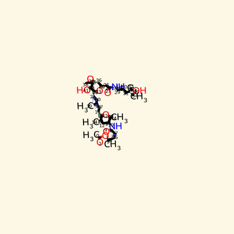 CC(=O)O[C@@H](C)/C=C\C(=O)N[C@@H]1C[C@H](C)[C@H](C/C=C(C)/C=C/[C@H]2O[C@H](CC(=O)NCCC[Si](C)(C)O)C[C@@]3(CO3)[C@@H]2O)O[C@@H]1C